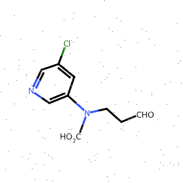 O=CCCN(C(=O)O)c1cncc(Cl)c1